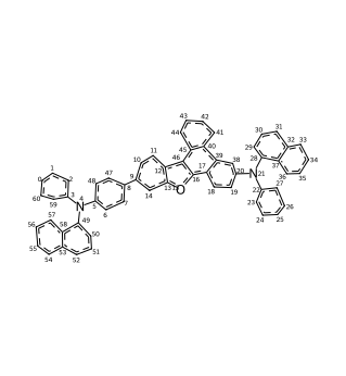 c1ccc(N(c2ccc(-c3ccc4c(c3)oc3c5ccc(N(c6ccccc6)c6cccc7ccccc67)cc5c5ccccc5c43)cc2)c2cccc3ccccc23)cc1